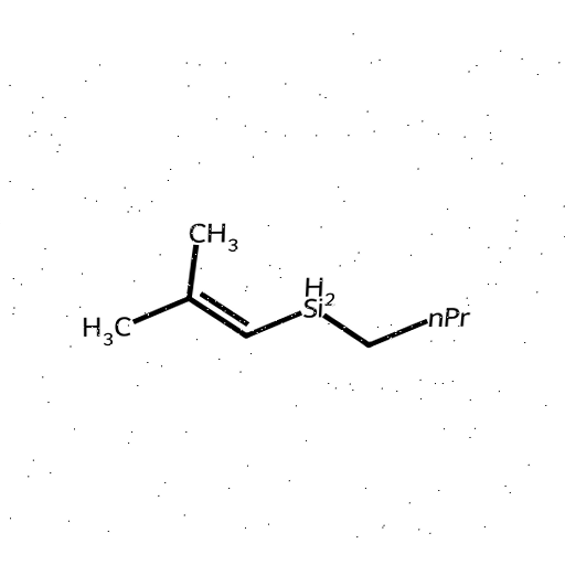 CCCC[SiH2]C=C(C)C